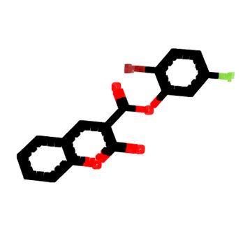 O=C(Oc1cc(F)ccc1Br)c1cc2ccccc2oc1=O